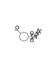 [N-]=[N+]=NS(=O)(=O)C1CCCCC(C2CO2)CC1